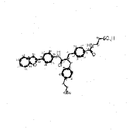 CC(C)(C)CCc1ccc(CC(Cc2ccc(C(=O)NCCS(=O)(=O)O)cc2)C(=O)Nc2ccc(-c3cc4ccccc4o3)cc2)cc1